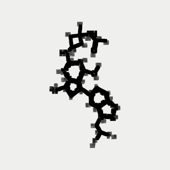 [2H]c1cc(-c2ccc3nnn(CC(F)F)c3c2)c2c(OC)nc(NC3CC(C)(NC(C)=O)C3)nn12